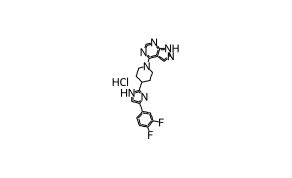 Cl.Fc1ccc(-c2c[nH]c(C3CCN(c4ncnc5[nH]ncc45)CC3)n2)cc1F